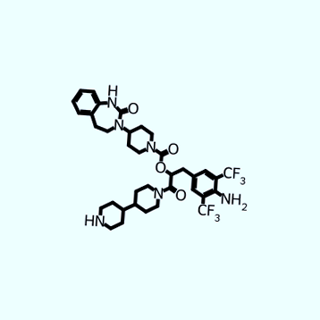 Nc1c(C(F)(F)F)cc(CC(OC(=O)N2CCC(N3CCc4ccccc4NC3=O)CC2)C(=O)N2CCC(C3CCNCC3)CC2)cc1C(F)(F)F